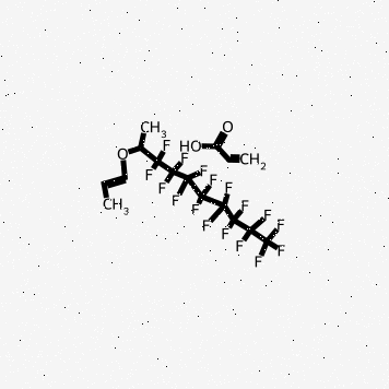 C=CC(=O)O.CC=COC(C)C(F)(F)C(F)(F)C(F)(F)C(F)(F)C(F)(F)C(F)(F)C(F)(F)C(F)(F)F